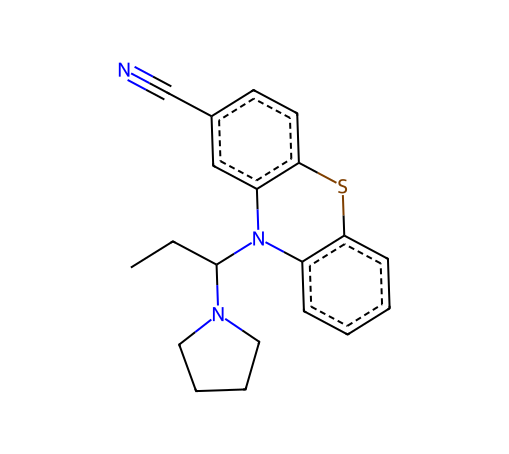 CCC(N1CCCC1)N1c2ccccc2Sc2ccc(C#N)cc21